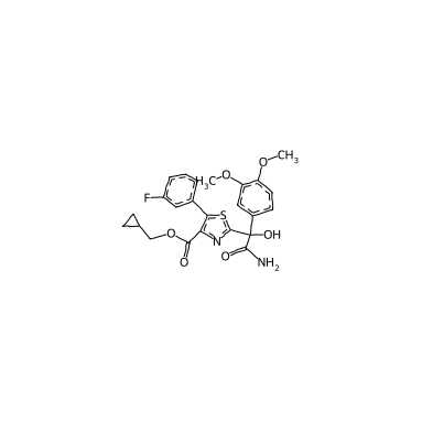 COc1ccc(C(O)(C(N)=O)c2nc(C(=O)OCC3CC3)c(-c3cccc(F)c3)s2)cc1OC